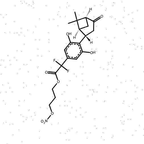 CC1(C)[C@@H]2C[C@H]1[C@@H](c1c(O)cc(C(F)(F)C(=O)OCCCO[N+](=O)[O-])cc1O)CC2=O